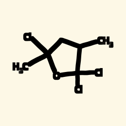 CC1CC(C)(Cl)OC1(Cl)Cl